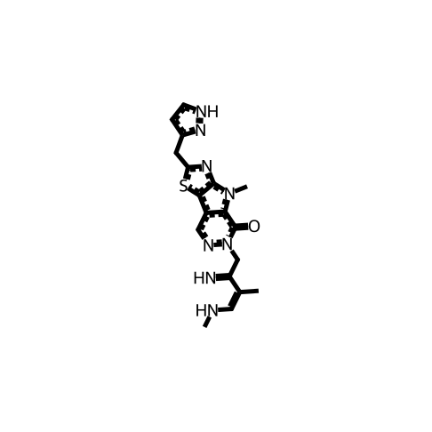 CN/C=C(/C)C(=N)Cn1ncc2c3sc(Cc4cc[nH]n4)nc3n(C)c2c1=O